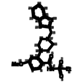 CCS(=O)(=O)NC(=O)c1ccc(OC)cc1N1CCN(Cc2nc3ccccc3s2)CC1